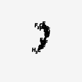 Cc1ccc(-c2cc(F)c(C#Cc3ccc4nc(C(F)(F)Oc5cc(F)c(C(F)(F)F)c(F)c5)sc4c3)c(F)c2)c(F)c1